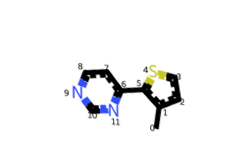 Cc1ccsc1-c1ccncn1